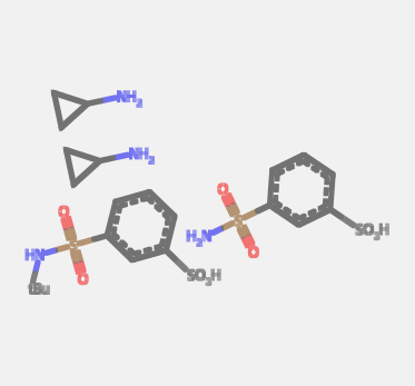 CC(C)(C)NS(=O)(=O)c1cccc(S(=O)(=O)O)c1.NC1CC1.NC1CC1.NS(=O)(=O)c1cccc(S(=O)(=O)O)c1